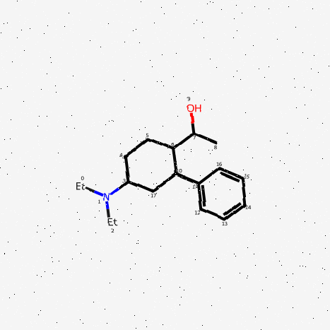 CCN(CC)C1CCC(C(C)O)C(c2ccccc2)C1